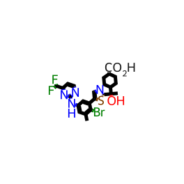 Cc1cc(Nc2nccc(C(F)F)n2)cc(-c2cnc(C(C)(O)C3CCC(C(=O)O)CC3)s2)c1Br